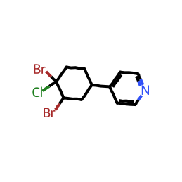 ClC1(Br)CCC(c2ccncc2)CC1Br